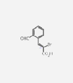 O=Cc1ccccc1/C=C(\Br)C(=O)O